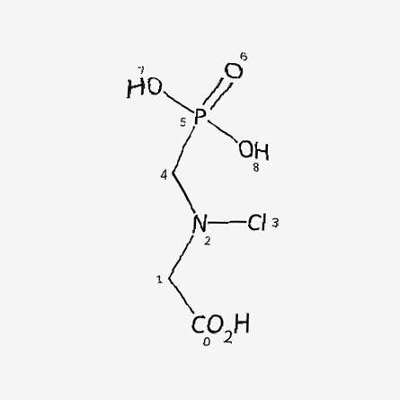 O=C(O)CN(Cl)CP(=O)(O)O